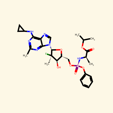 Cc1nc(NC2CC2)c2ncn([C@@H]3O[C@H](CO[P@](=O)(N[C@H](C)C(=O)OC(C)C)Oc4ccccc4)[C@@H](O)[C@@]3(C)F)c2n1